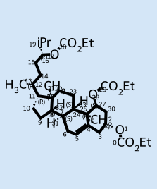 CCOC(=O)O[C@@H]1CC2=CC[C@H]3[C@@H]4CC[C@H]([C@H](C)CC[C@@H](OC(=O)OCC)C(C)C)[C@@]4(C)CC[C@@H]3[C@@]2(C)[C@@H](OC(=O)OCC)C1